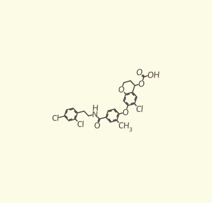 Cc1cc(C(=O)NCCc2ccc(Cl)cc2Cl)ccc1Oc1cc2c(cc1Cl)C(OC(=O)O)CCO2